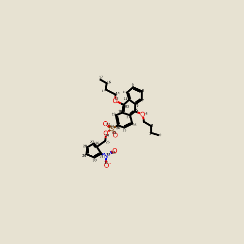 CCCCOc1c2ccccc2c(OCCCC)c2cc(S(=O)(=O)OCc3ccccc3[N+](=O)[O-])ccc12